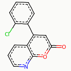 O=c1cc(-c2ccccc2Cl)c2cccnc2o1